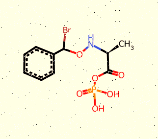 C[C@H](NOC(Br)c1ccccc1)C(=O)OP(=O)(O)O